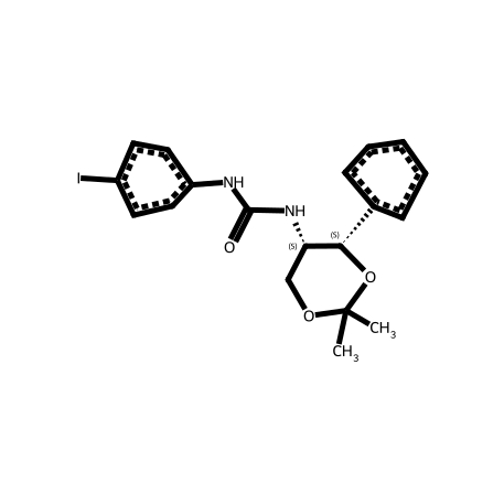 CC1(C)OC[C@H](NC(=O)Nc2ccc(I)cc2)[C@H](c2ccccc2)O1